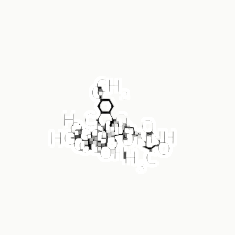 COc1ccc(C(=O)O[C@@H]2C[C@H](n3cc(C)c(=O)[nH]c3=O)OC2COP(=O)(O)OP(=O)(O)OP(=O)(O)O)c(C(C)N)c1